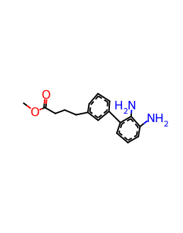 COC(=O)CCCc1cccc(-c2cccc(N)c2N)c1